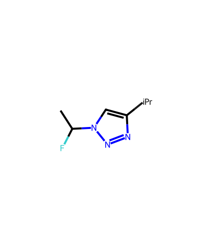 CC(C)c1cn(C(C)F)nn1